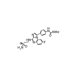 CNC(=O)Nc1ccc(-c2cnc3c(NCCS(N)(=O)=O)nc4ccc(F)cc4n23)cc1